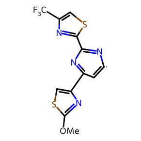 COc1nc(-c2c[c]nc(-c3nc(C(F)(F)F)cs3)n2)cs1